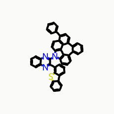 c1ccc(-c2ccc3c4c2ccc2c4c4c(cccc4n2-c2nc4ccccc4nc2-c2cccc4c2sc2ccccc24)-c2ccccc2-3)cc1